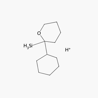 [H+].[SiH3]C1(C2CCCCC2)CCCCO1